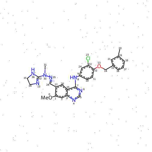 COc1cc2ncnc(Nc3ccc(OCc4cccc(C)c4)c(Cl)c3)c2cc1/C=N/N(C)C1=NCCN1